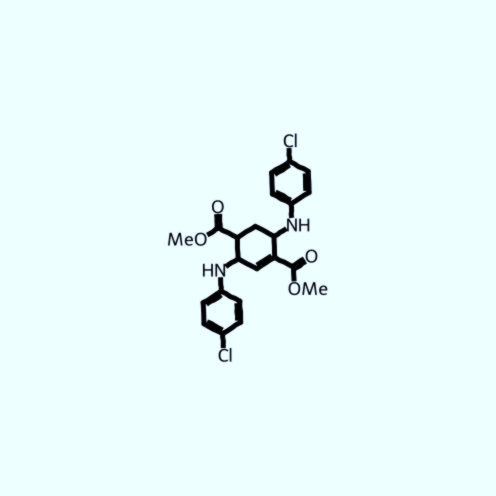 COC(=O)C1=CC(Nc2ccc(Cl)cc2)C(C(=O)OC)CC1Nc1ccc(Cl)cc1